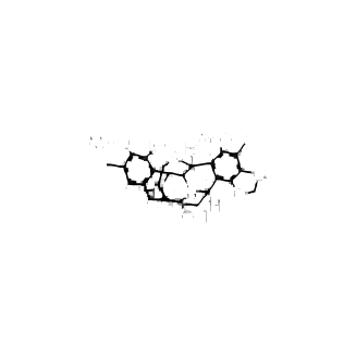 COc1c(C)cc2c(c1O)C1C3[C@@H]4SCC(=O)C(=O)OC[C@@H](c5c6c(c(C)c(OC(C)=O)c54)OCO6)N3[C@@H](O)C(C2)N1C